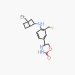 CCC12CCC1C(Nc1ccc(C3=NNC(=O)OC3)cc1CF)C2